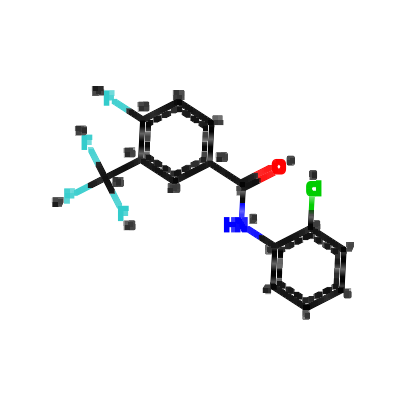 O=C(Nc1ccccc1Cl)c1ccc(F)c(C(F)(F)F)c1